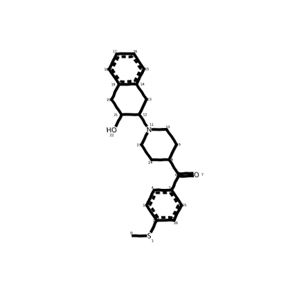 CSc1ccc(C(=O)C2CCN(C3Cc4ccccc4CC3O)CC2)cc1